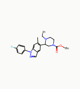 Cc1cc2c(cnn2-c2ccc(F)cc2)cc1C1CN(C(=O)OC(C)(C)C)CCN1CC(C)C